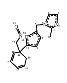 Cc1nccn1Cc1ccc(C2(CN=O)C=CC=CC2)o1